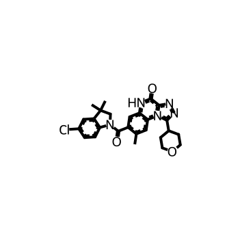 Cc1cc2c(cc1C(=O)N1CC(C)(C)c3cc(Cl)ccc31)[nH]c(=O)c1nnc(C3CCOCC3)n12